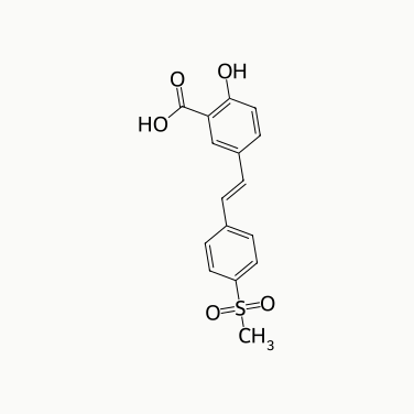 CS(=O)(=O)c1ccc(/C=C/c2ccc(O)c(C(=O)O)c2)cc1